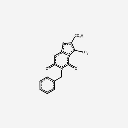 Cc1c(C(=O)O)sc2cc(=O)n(Cc3ccccc3)c(=O)n12